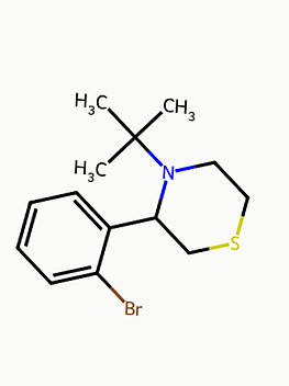 CC(C)(C)N1CCSCC1c1ccccc1Br